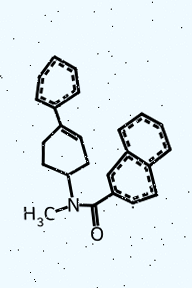 CN(C(=O)c1[c]cc2ccccc2c1)C1CC=C(c2ccccc2)CC1